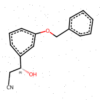 N#CC[C@@H](O)c1cccc(OCc2ccccc2)c1